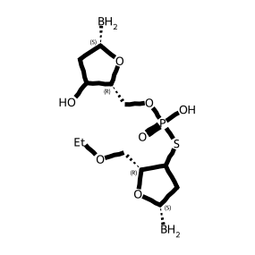 B[C@H]1CC(O)[C@@H](COP(=O)(O)SC2C[C@H](B)O[C@@H]2COCC)O1